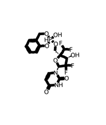 O=c1ccn([C@@H]2O[C@@](CO[PH]3(O)OCc4ccccc4O3)(C(F)F)[C@H](O)C2(F)F)c(=O)[nH]1